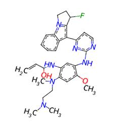 C=CC(O)Nc1cc(Nc2nccc(-c3c4n(c5ccccc35)CCC4F)n2)c(OC)cc1N(C)CCN(C)C